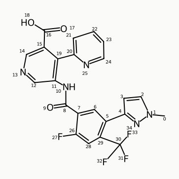 Cn1ccc(-c2cc(C(=O)Nc3cncc(C(=O)O)c3-c3ccccn3)c(F)cc2C(F)(F)F)n1